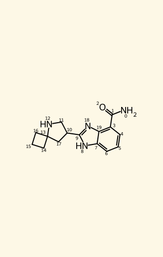 NC(=O)c1cccc2[nH]c(C3CNC4(CCC4)C3)nc12